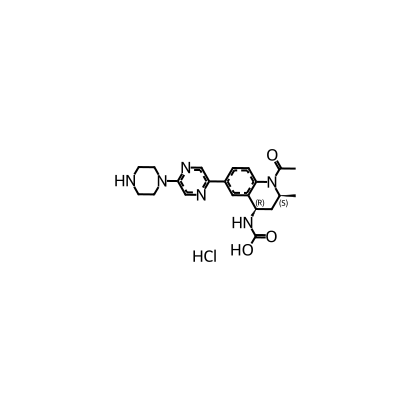 CC(=O)N1c2ccc(-c3cnc(N4CCNCC4)cn3)cc2[C@H](NC(=O)O)C[C@@H]1C.Cl